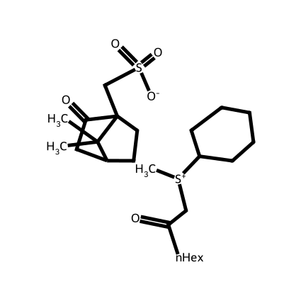 CC1(C)C2CCC1(CS(=O)(=O)[O-])C(=O)C2.CCCCCCC(=O)C[S+](C)C1CCCCC1